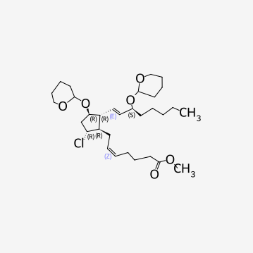 CCCCC[C@@H](/C=C/[C@@H]1[C@@H](C/C=C\CCCC(=O)OC)[C@H](Cl)C[C@H]1OC1CCCCO1)OC1CCCCO1